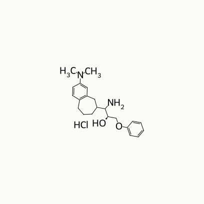 CN(C)c1ccc2c(c1)CC(C(N)[C@H](O)COc1ccccc1)CCC2.Cl